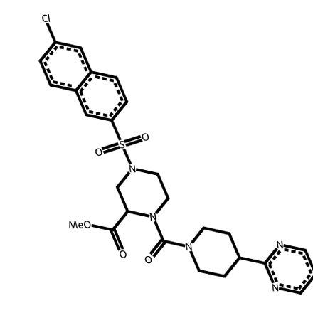 COC(=O)C1CN(S(=O)(=O)c2ccc3cc(Cl)ccc3c2)CCN1C(=O)N1CCC(c2ncccn2)CC1